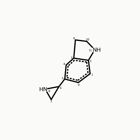 c1cc2c(cc1C1CN1)CCN2